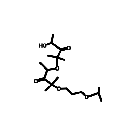 CC(C)OCCCOC(C)(C)C(=O)C(C)OC(C)(C)C(=O)C(C)O